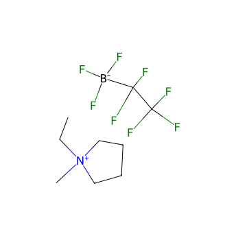 CC[N+]1(C)CCCC1.F[B-](F)(F)C(F)(F)C(F)(F)F